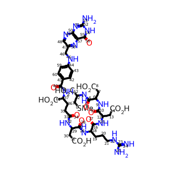 CSCC(NC(=O)C(CC(=O)O)NC(=O)C(CC(=O)O)NC(=O)C(CCCNC(=N)N)NC(=O)C(CC(=O)O)NC(=O)CCC(NC(=O)c1ccc(NCc2cnc3nc(N)[nH]c(=O)c3n2)cc1)C(=O)O)C(=O)O